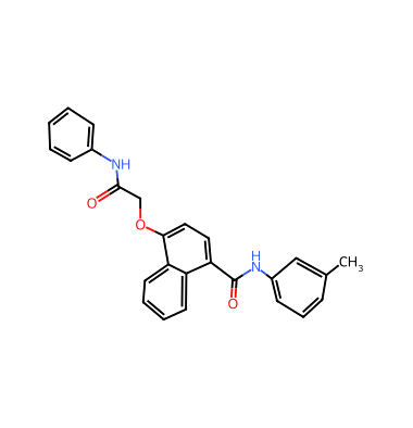 Cc1cccc(NC(=O)c2ccc(OCC(=O)Nc3ccccc3)c3ccccc23)c1